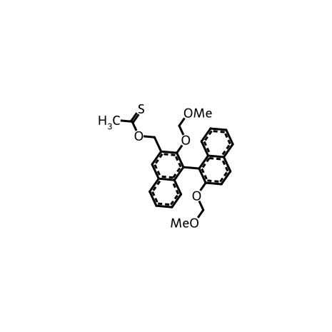 COCOc1ccc2ccccc2c1-c1c(OCOC)c(COC(C)=S)cc2ccccc12